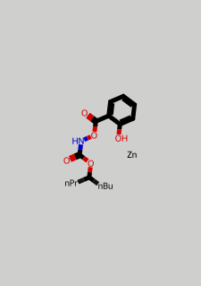 CCCCC(CCC)OC(=O)NOC(=O)c1ccccc1O.[Zn]